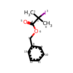 CC(C)(I)C(=O)OCc1ccccc1